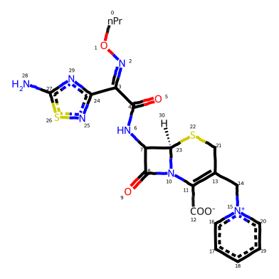 CCCO/N=C(/C(=O)NC1C(=O)N2C(C(=O)[O-])=C(C[n+]3ccccc3)CS[C@H]12)c1nsc(N)n1